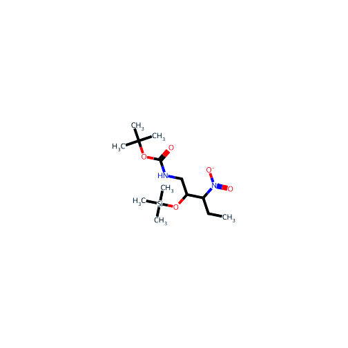 CCC(C(CNC(=O)OC(C)(C)C)O[Si](C)(C)C)[N+](=O)[O-]